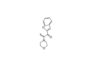 O=C(C(=S)N1CCOCC1)c1cc2ccccc2o1